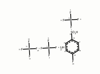 F[B-](F)(F)F.F[B-](F)(F)F.F[B-](F)(F)F.O=S(=O)(O)c1ccc(F)cc1.[LiH]